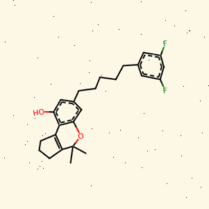 CC1(C)Oc2cc(CCCCCc3cc(F)cc(F)c3)cc(O)c2C2=C1CCC2